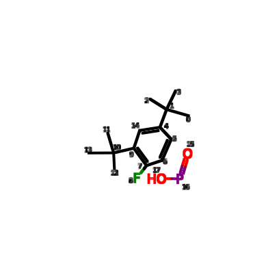 CC(C)(C)c1ccc(F)c(C(C)(C)C)c1.O=PO